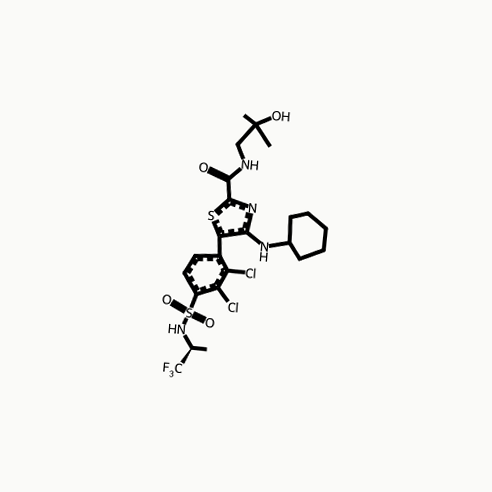 C[C@H](NS(=O)(=O)c1ccc(-c2sc(C(=O)NCC(C)(C)O)nc2NC2CCCCC2)c(Cl)c1Cl)C(F)(F)F